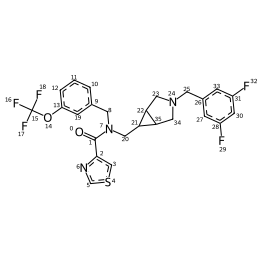 O=C(c1cscn1)N(Cc1cccc(OC(F)(F)F)c1)CC1C2CN(Cc3cc(F)cc(F)c3)CC21